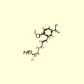 COc1ccc(C(C)C)cc1/C=C/CCC[C@H](C)O